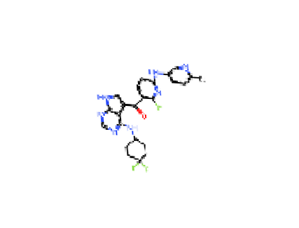 CCc1ccc(Nc2ccc(C(=O)c3c[nH]c4ncnc(NC5CCC(F)(F)CC5)c34)c(F)n2)cn1